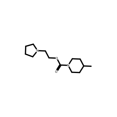 CC1CCN(C(=O)OCCN2CCCC2)CC1